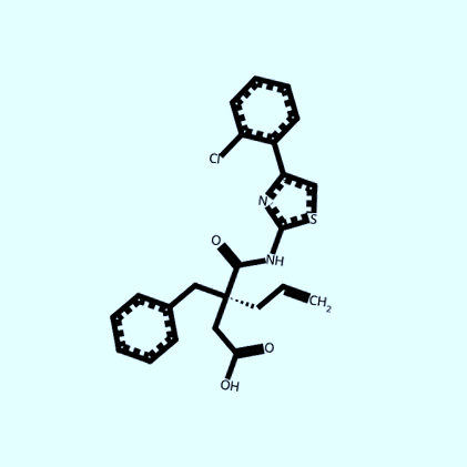 C=CC[C@](CC(=O)O)(Cc1ccccc1)C(=O)Nc1nc(-c2ccccc2Cl)cs1